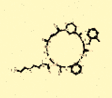 Cc1ccccc1C[C@@H]1NC(=O)[C@@H]2CCCN(C2)C(=O)/C=C/C(=O)NCC[C@@H](C(=O)NCCOCCN)NC(O)Cc2ccccc2CNC1=O